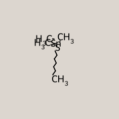 CCCCCCCC[S][Sn]([CH2]C)([CH2]C)[CH2]C